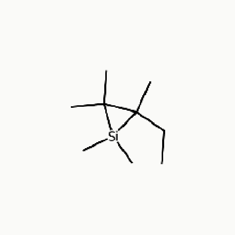 CCC1(C)C(C)(C)[Si]1(C)C